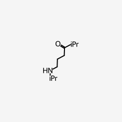 CC(C)NCCCC(=O)C(C)C